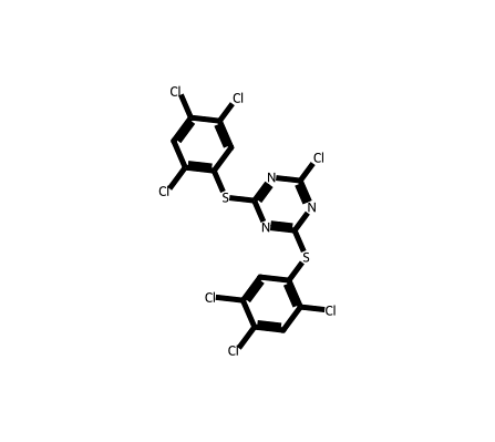 Clc1nc(Sc2cc(Cl)c(Cl)cc2Cl)nc(Sc2cc(Cl)c(Cl)cc2Cl)n1